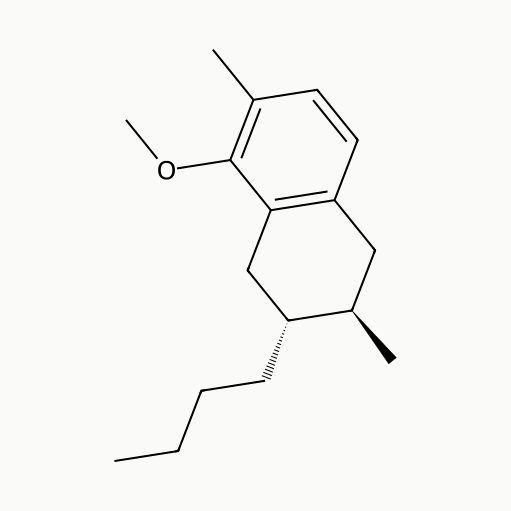 CCCC[C@@H]1Cc2c(ccc(C)c2OC)C[C@H]1C